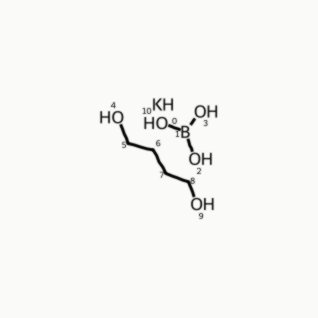 OB(O)O.OCCCCO.[KH]